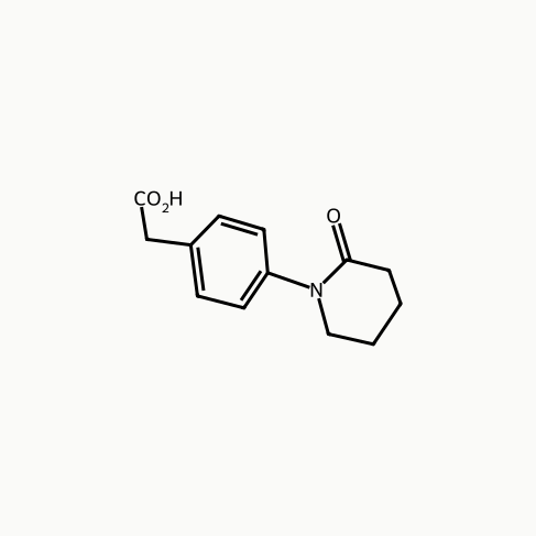 O=C(O)Cc1ccc(N2CCCCC2=O)cc1